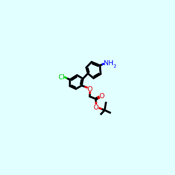 CC(C)(C)OC(=O)COc1ccc(Cl)cc1-c1ccc(N)cc1